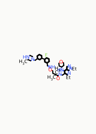 CCc1nc2c(cnn2CC)c(NC2CCOCC2)c1CNC(=O)C(C)(C)CCONCc1ccc(F)c(-c2cccc(CN3CCN[C@@H](C)C3)c2)c1